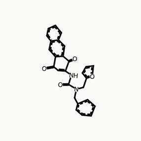 O=C1C=C(NC(=O)N(Cc2ccccc2)Cc2ccco2)C(=O)c2cc3ccccc3cc21